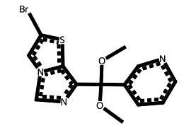 COC(OC)(c1cccnc1)c1ncn2cc(Br)sc12